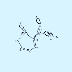 CC(=O)C1=CC=CCC1=O